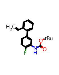 C=Cc1ccccc1-c1ccc(F)c(NC(=O)OC(C)(C)C)c1